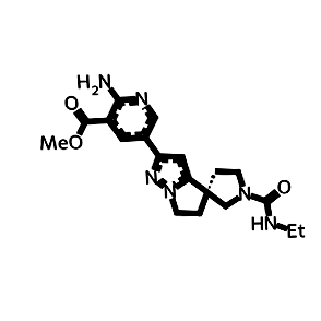 CCNC(=O)N1CC[C@@]2(CCn3nc(-c4cnc(N)c(C(=O)OC)c4)cc32)C1